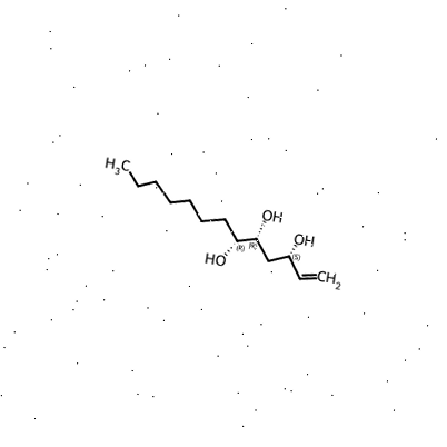 C=C[C@@H](O)C[C@@H](O)[C@H](O)CCCCCCC